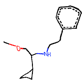 COCC(NCCc1ccccc1)C1CC1